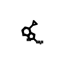 O=C(O)c1cc2c(C3CC3)ccnc2[nH]1